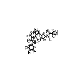 C[C@H]1Cn2ncc(N3CC(N(C)C(=O)c4cnco4)CC3=O)c2CN1C(=O)Nc1cc(F)c(F)c(F)c1